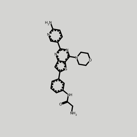 NCC(=O)Nc1cccc(-c2cc3nc(-c4ccc(N)nc4)nc(N4CCOCC4)c3s2)c1